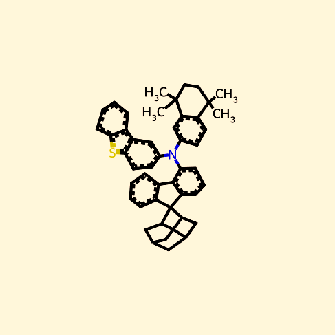 CC1(C)CCC(C)(C)c2cc(N(c3ccc4sc5ccccc5c4c3)c3cccc4c3-c3ccccc3C43C4CC5CC6CC3C64C5)ccc21